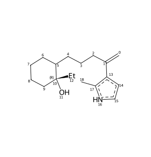 C=C(CCCC1CCCC[C@]1(O)CC)c1cc[nH]c1C